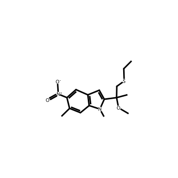 CCSCC(C)(OC)c1cc2cc([N+](=O)[O-])c(C)cc2n1C